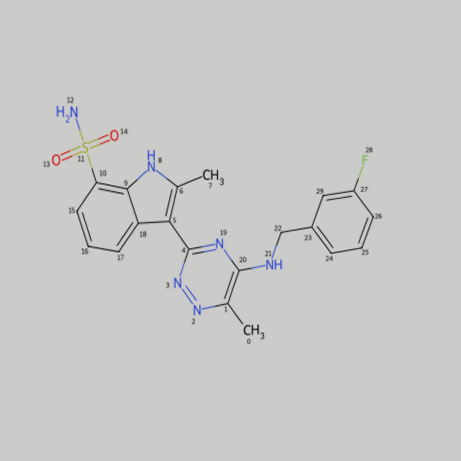 Cc1nnc(-c2c(C)[nH]c3c(S(N)(=O)=O)cccc23)nc1NCc1cccc(F)c1